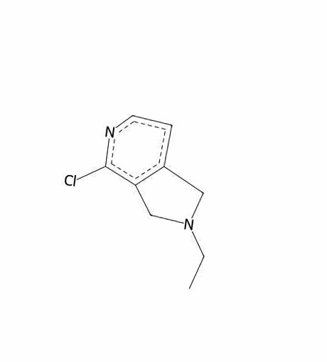 CCN1Cc2ccnc(Cl)c2C1